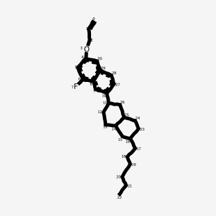 C=CCOc1cc(F)c2cc(C3CCC4CC(CCCCCC)CCC4C3)ccc2c1